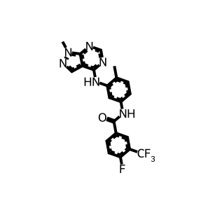 Cc1ccc(NC(=O)c2ccc(F)c(C(F)(F)F)c2)cc1Nc1ncnc2c1cnn2C